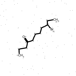 CCCC(=O)CCCCC(Br)CC